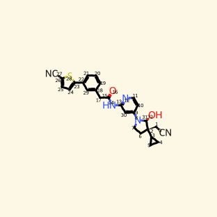 N#CC[C@@]1(C2CC2)CCN(c2ccnc(NC(=O)Cc3cccc(-c4ccc(C#N)s4)c3)c2)C1O